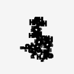 CCOC(=O)CC(C(=O)OCC)c1cc(-c2nc3cc(C(=N)NO)ccc3[nH]2)c(O)c(-c2cc(CNC(N)=O)ccc2O)c1